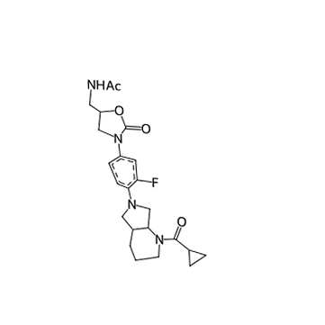 CC(=O)NCC1CN(c2ccc(N3CC4CCCN(C(=O)C5CC5)C4C3)c(F)c2)C(=O)O1